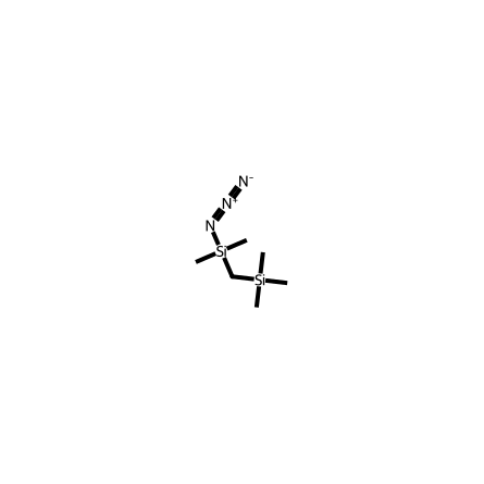 C[Si](C)(C)C[Si](C)(C)N=[N+]=[N-]